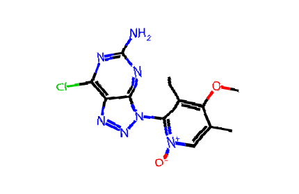 COc1c(C)c[n+]([O-])c(-n2nnc3c(Cl)nc(N)nc32)c1C